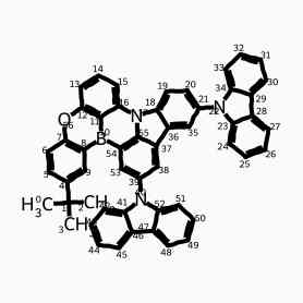 CC(C)(C)c1ccc2c(c1)B1c3c(cccc3-n3c4ccc(-n5c6ccccc6c6ccccc65)cc4c4cc(-n5c6ccccc6c6ccccc65)cc1c43)O2